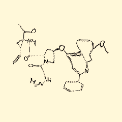 C=C[C@@H]1CC1(NC(=O)[C@@H]1C[C@@H](Oc2cc(-c3ccccc3)nc3cc(OC)ccc23)CN1C(=O)NN)C(C)=O